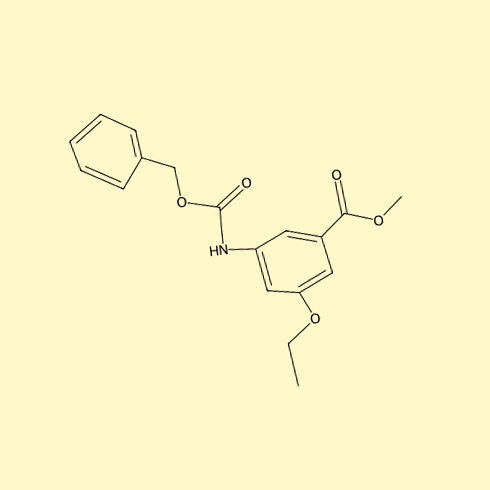 CCOc1cc(NC(=O)OCc2ccccc2)cc(C(=O)OC)c1